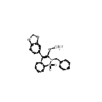 O=C(O)OC1=C(c2ccc3c(c2)OCO3)c2ccccc2S(=O)(=O)N1Cc1ccccc1